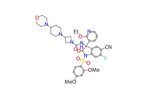 CCOc1ncccc1C1(NC(=O)N2CC(N3CCC(N4CCOCC4)CC3)C2)C(=O)N(S(=O)(=O)c2ccc(OC)cc2OC)c2cc(F)c(C#N)cc21